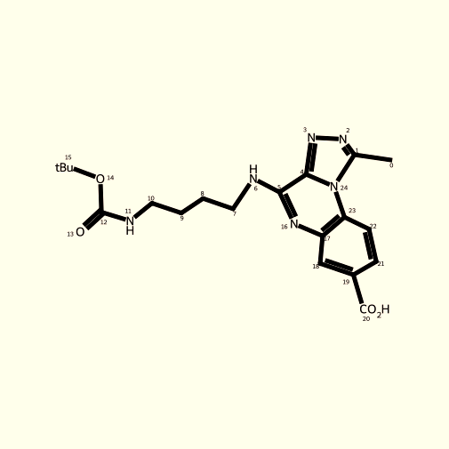 Cc1nnc2c(NCCCCNC(=O)OC(C)(C)C)nc3cc(C(=O)O)ccc3n12